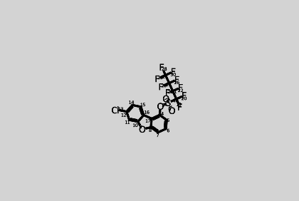 O=S(=O)(Oc1cccc2oc3cc(Cl)ccc3c12)C(F)(F)C(F)(F)C(F)(F)C(F)(F)F